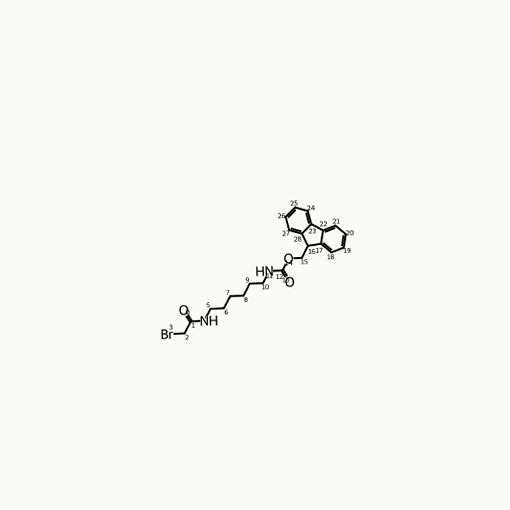 O=C(CBr)NCCCCCCNC(=O)OCC1c2ccccc2-c2ccccc21